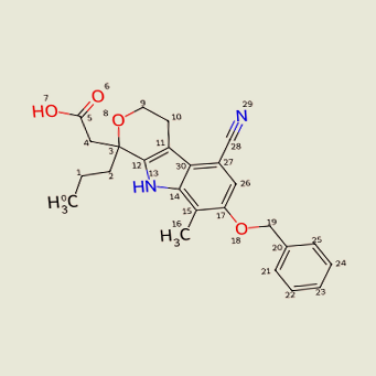 CCCC1(CC(=O)O)OCCc2c1[nH]c1c(C)c(OCc3ccccc3)cc(C#N)c21